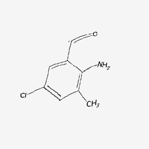 Cc1cc(Cl)cc([C]=O)c1N